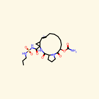 CCCNS(=O)(=O)NC(=O)C12CC1/C=C/CCCCCC(OC(N)=O)C(=O)N1CCCC1C(=O)N2